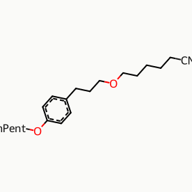 CCCCCOc1ccc(CCCOCCCCCC#N)cc1